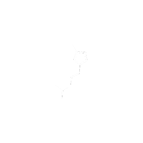 Cn1cc(C=NO[SiH](C)C)cn1